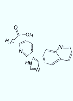 CC(=O)O.c1c[nH]cn1.c1ccc2ncccc2c1.c1ccncc1